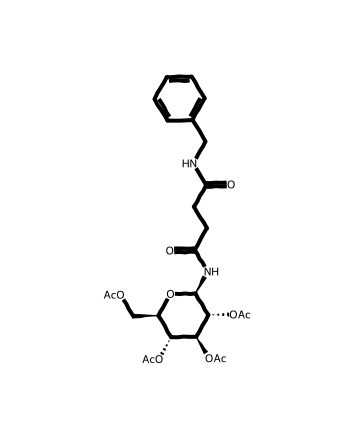 CC(=O)OC[C@H]1O[C@@H](NC(=O)CCC(=O)NCc2ccccc2)[C@H](OC(C)=O)[C@@H](OC(C)=O)[C@@H]1OC(C)=O